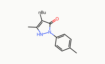 CCCCc1c(C)[nH]n(-c2ccc(C)cc2)c1=O